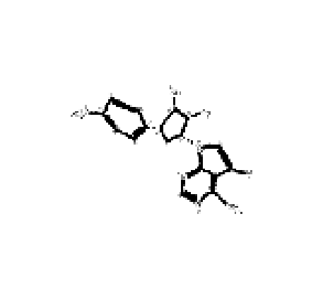 Nc1ncnc2c1c(Br)cn2[C@@H]1C[C@H](c2ccc(C(=O)O)cc2)[C@@H](O)[C@H]1O